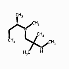 CC[C@@H](C)N(C)CC(C)(C)NC